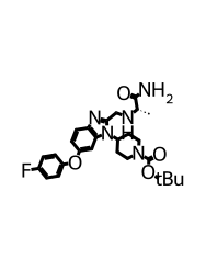 C[C@H](NCc1nc2ccc(Oc3ccc(F)cc3)cc2n1C1CCN(C(=O)OC(C)(C)C)CC1)C(N)=O